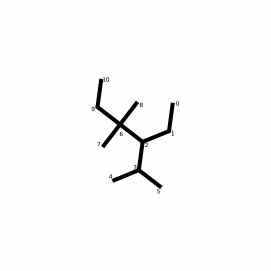 C[CH]C(C(C)C)C(C)(C)CC